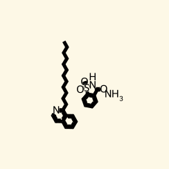 CCCCCCCCCCCCc1nccc2ccccc12.N.O=C1NS(=O)(=O)c2ccccc21